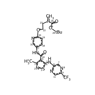 Cc1nsc(Nc2cnc(C(F)(F)F)cn2)c1C(=O)Nc1ccc(OCCN(C)C(=O)OC(C)(C)C)nc1